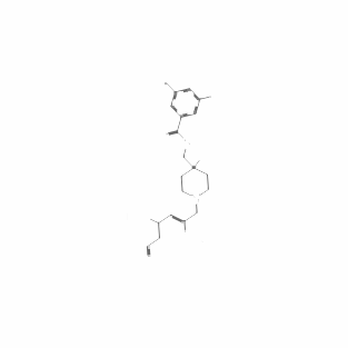 C=CCC(C)C=C(C)CN1CCC(F)(CNC(=O)c2cc(Cl)cc(Cl)c2)CC1